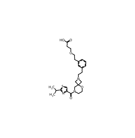 CC(C)c1nc(C(=O)N2CCOC3(CN(CCc4cccc(CCOCCC(=O)O)c4)C3)C2)cs1